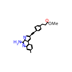 COC(=O)CCc1ccc(C#Cc2cnc3c(N)nc4cc(C)ccc4c3c2)cc1